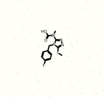 CSc1nnc(N(C)C(=O)O)n1Cc1ccc(F)cc1